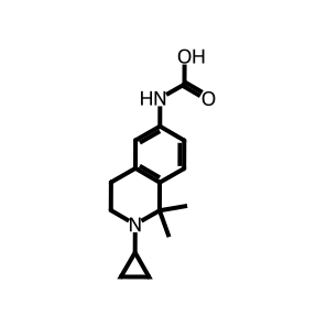 CC1(C)c2ccc(NC(=O)O)cc2CCN1C1CC1